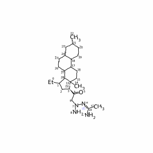 CCC1C[C@H](C(=O)CN(N)/N=C(/C)N)C2(C)CCC3C4CCC(C)CC4CCC3C12